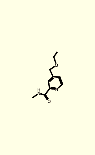 CCOCc1ccnc(C(=O)NC)c1